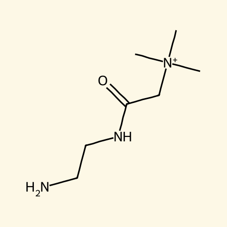 C[N+](C)(C)CC(=O)NCCN